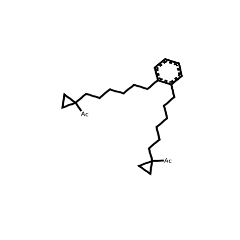 CC(=O)C1(CCCCCCc2ccccc2CCCCCCC2(C(C)=O)CC2)CC1